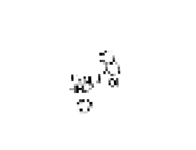 O=c1nc(/C=C/c2c(O)ccc3ccccc23)cc(-c2ccccc2)[nH]1